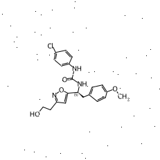 COc1ccc(C[C@H](NC(=O)Nc2ccc(Cl)cc2)c2cc(CCO)no2)cc1